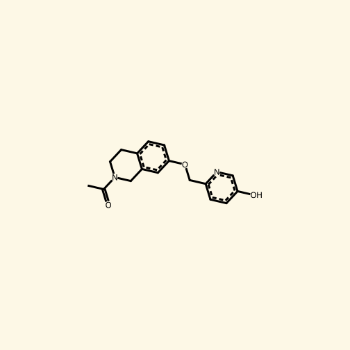 CC(=O)N1CCc2ccc(OCc3ccc(O)cn3)cc2C1